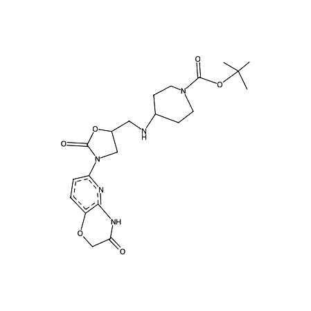 CC(C)(C)OC(=O)N1CCC(NCC2CN(c3ccc4c(n3)NC(=O)CO4)C(=O)O2)CC1